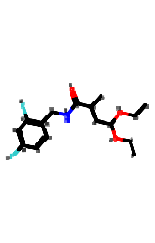 CCOC(CC(C)C(=O)NCc1ccc(F)cc1F)OCC